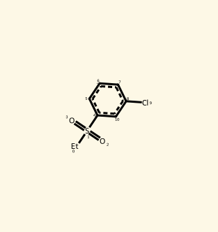 CCS(=O)(=O)c1c[c]cc(Cl)c1